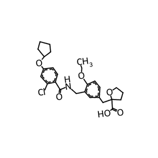 CCOc1ccc(CC2(C(=O)O)CCCO2)cc1CNC(=O)c1ccc(OC2CCCC2)cc1Cl